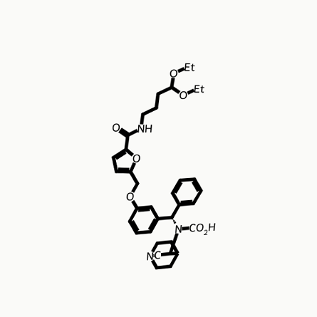 CCOC(CCCNC(=O)c1ccc(COc2cccc([C@H](c3ccccc3)N(C(=O)O)C3CN4CCC3CC4)c2)o1)OCC